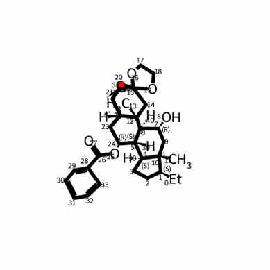 CC[C@H]1CC[C@H]2[C@H]3[C@H]([C@H](O)C[C@]12C)[C@@]1(C)CC2(OCCO2)C2(C[C@H]1C[C@H]3OC(=O)c1ccccc1)OCCO2